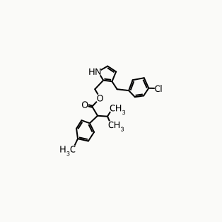 Cc1ccc(C(C(=O)OCc2[nH]ccc2Cc2ccc(Cl)cc2)C(C)C)cc1